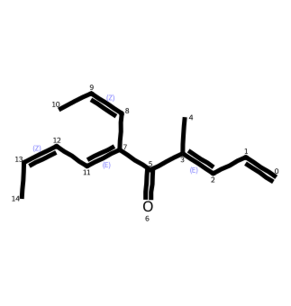 C=C/C=C(\C)C(=O)C(/C=C\C)=C/C=C\C